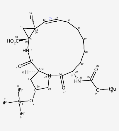 CC(C)[Si](O[C@@H]1C[C@H]2C(=O)N[C@]3(C(=O)O)C[C@H]3/C=C\CCCCC[C@H](NC(=O)OC(C)(C)C)C(=O)N2C1)(C(C)C)C(C)C